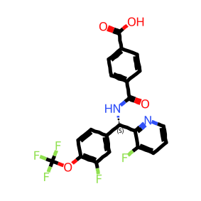 O=C(O)c1ccc(C(=O)N[C@@H](c2ccc(OC(F)(F)F)c(F)c2)c2ncccc2F)cc1